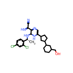 C[C@@H](NC1NC(C2CCC(C3CCCC(CO)C3)C2)=CN=C1C(=N)C#N)c1ccc(Cl)cc1Cl